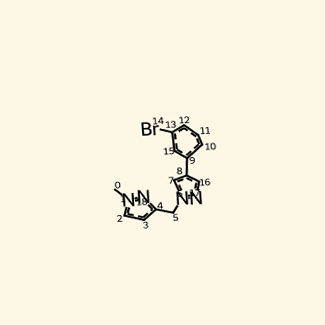 Cn1ccc(Cn2cc(-c3cccc(Br)c3)cn2)n1